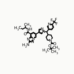 CCC(C)NC(=O)c1cc(-c2cnn(C(c3ccc(C(F)(F)F)nc3)C3CCN(C(=O)OC(C)(C)C)CC3)c2)cn2nc(N)nc12